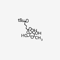 CC1OC(CO)C(OC(=O)CCCC(=O)C(C)(C)C)C(O)C1O